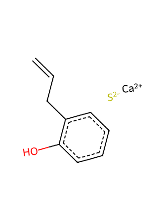 C=CCc1ccccc1O.[Ca+2].[S-2]